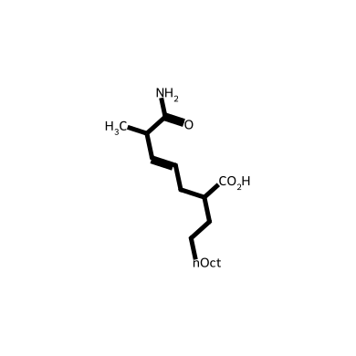 CCCCCCCCCCC(CC=CC(C)C(N)=O)C(=O)O